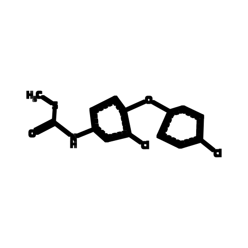 CSC(=O)Nc1ccc(Oc2ccc(Cl)cc2)c(Cl)c1